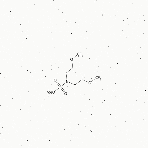 COS(=O)(=O)N(CCOC(F)(F)F)CCOC(F)(F)F